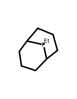 CCP1C2CCCC1CCC2